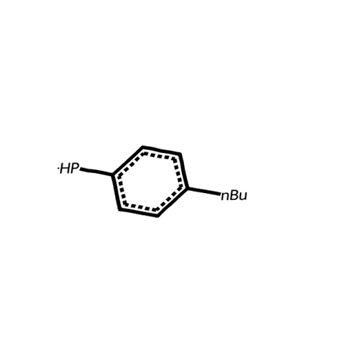 CCCCc1ccc([PH])cc1